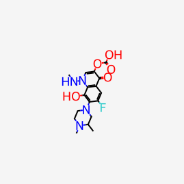 CNn1cc(OC(=O)O)c(=O)c2cc(F)c(N3CCN(C)C(C)C3)c(O)c21